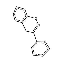 c1ccc(C2=NOc3ccccc3C2)nc1